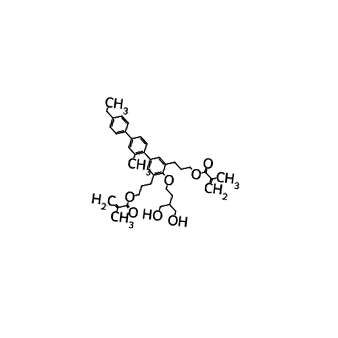 C=C(C)C(=O)OCCCc1cc(-c2ccc(-c3ccc(CC)cc3)cc2C)cc(CCCOC(=O)C(=C)C)c1OCCC(CO)CO